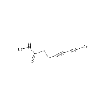 CCC#CC#CCCC(=O)NCC